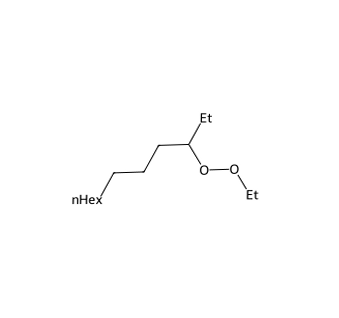 CCCCCCCCCC(CC)OOCC